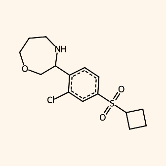 O=S(=O)(c1ccc(C2COCCCN2)c(Cl)c1)C1CCC1